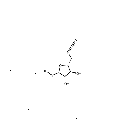 [N-]=[N+]=NC[C@H]1OC(NO)[C@@H](O)[C@@H]1O